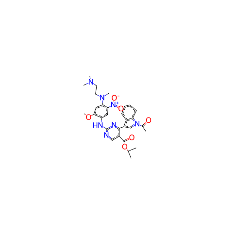 COc1cc(N(C)CCN(C)C)c([N+](=O)[O-])cc1Nc1ncc(C(=O)OC(C)C)c(-c2cn(C(C)=O)c3ccccc23)n1